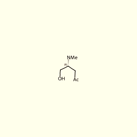 CN[C@@H](CO)CC(C)=O